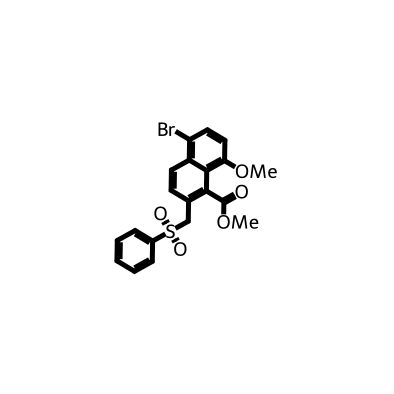 COC(=O)c1c(CS(=O)(=O)c2ccccc2)ccc2c(Br)ccc(OC)c12